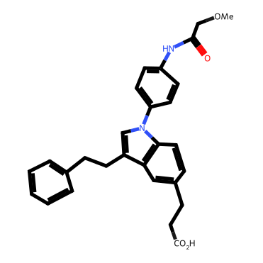 COCC(=O)Nc1ccc(-n2cc(CCc3ccccc3)c3cc(CCC(=O)O)ccc32)cc1